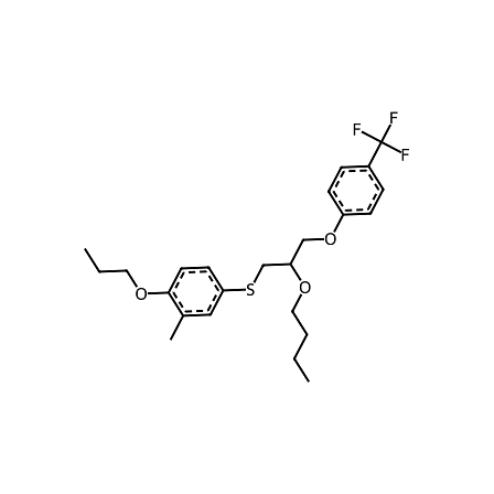 CCCCOC(COc1ccc(C(F)(F)F)cc1)CSc1ccc(OCCC)c(C)c1